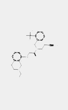 CCN1CCc2cccc(NCC(=O)N(CCC#N)Cc3ccccc3C(F)(F)F)c2C1